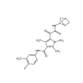 Cc1cc(NC(=O)c2c(C)c(C(=O)C(=O)NC3CC4CC3C4)n(C)c2C)ccc1F